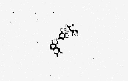 CC(C)N(C)Cc1cccc(F)c1CNc1cc(F)c(S(=O)(=O)N(C(=O)O)c2ccon2)c(F)c1